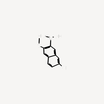 CSc1cc2ccc(Cl)cc2cc1B(O)O